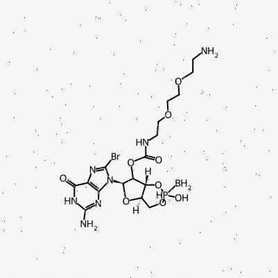 B[PH]1(O)OC[C@H]2O[C@@H](n3c(Br)nc4c(=O)[nH]c(N)nc43)C(OC(=O)NCCOCCOCCN)[C@@H]2O1